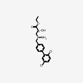 CCOC(=O)[C@H](O)CN(N)Cc1ccc(-c2cc(Cl)ccc2Cl)cc1